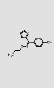 CCCON=C(c1ccc(O)cc1)c1ccco1